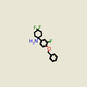 NC1(c2ccc(OCc3ccccc3)c(F)c2)CCC(F)(F)CC1